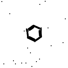 [c]1cncnc1